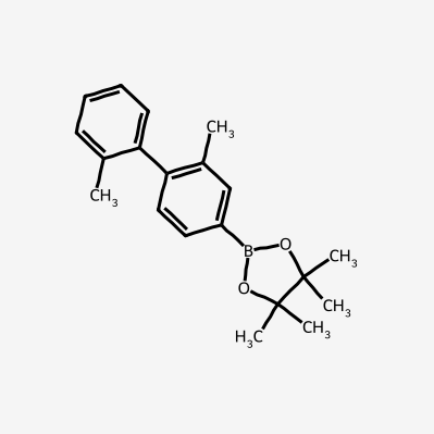 Cc1ccccc1-c1ccc(B2OC(C)(C)C(C)(C)O2)cc1C